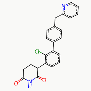 O=C1CCC(c2cccc(-c3ccc(Cc4ccccn4)cc3)c2Cl)C(=O)N1